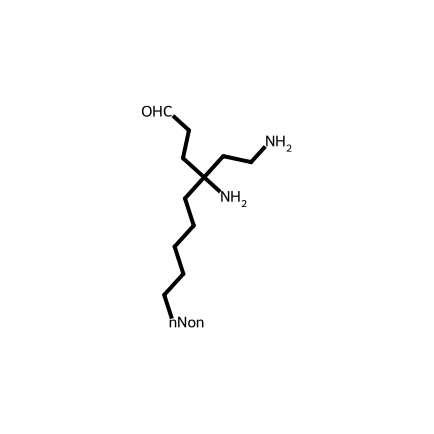 CCCCCCCCCCCCCCC(N)(CCN)CCC=O